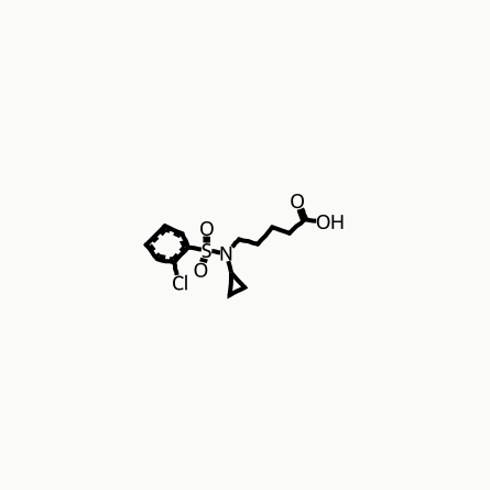 O=C(O)CCCCN(C1CC1)S(=O)(=O)c1ccccc1Cl